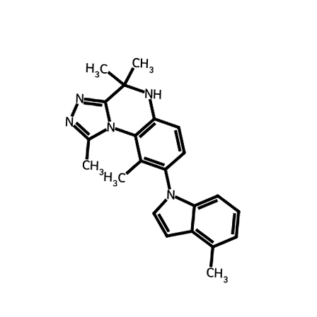 Cc1c(-n2ccc3c(C)cccc32)ccc2c1-n1c(C)nnc1C(C)(C)N2